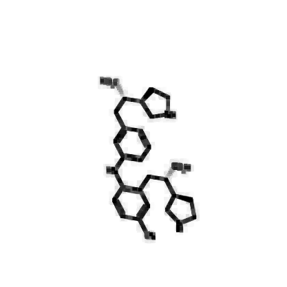 N#Cc1ccc(Nc2cccc(C[C@H](C(=O)O)[C@H]3CCNC3)c2)c(C[C@H](C(=O)O)[C@H]2CCNC2)c1